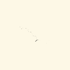 C=C(CCCCSC#N)C(=O)O